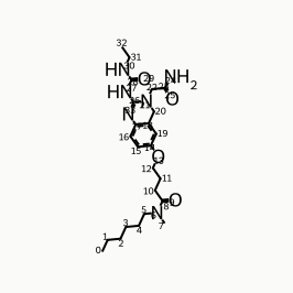 CCCCCCN(C)C(=O)CCCOc1ccc2c(c1)CN(CC(N)=O)C(NC(=O)NCC)=N2